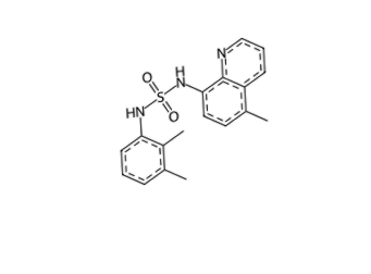 Cc1cccc(NS(=O)(=O)Nc2ccc(C)c3cccnc23)c1C